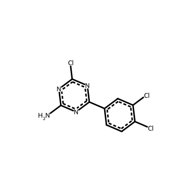 Nc1nc(Cl)nc(-c2ccc(Cl)c(Cl)c2)n1